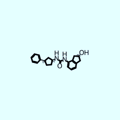 O=C(Nc1cccc2c1C[C@H](O)C2)N[C@H]1CC[C@@H](c2ccccc2)C1